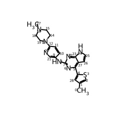 Cc1csc(-c2nc(Nc3ccc(N4CCN(C)CC4)nc3)nc3[nH]ccc23)c1